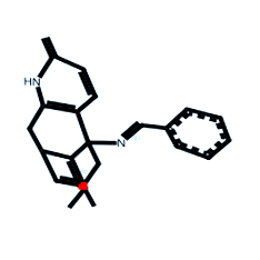 C=C1C=CC2=C(CC3C=C(C)CC2(/N=C/c2ccccc2)/C3=C/C)N1